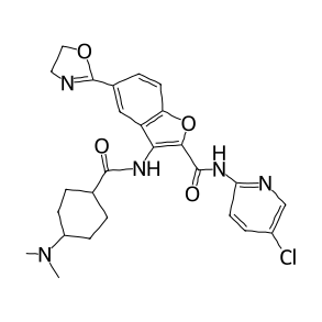 CN(C)C1CCC(C(=O)Nc2c(C(=O)Nc3ccc(Cl)cn3)oc3ccc(C4=NCCO4)cc23)CC1